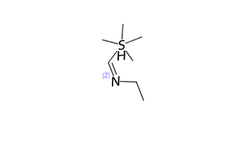 CC/N=C\[SH](C)(C)(C)C